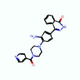 Nc1cc(-c2n[nH]c(=O)c3ccccc23)ccc1N1CCN(C(=O)c2ccncc2)CC1